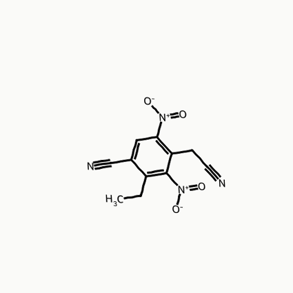 CCc1c(C#N)cc([N+](=O)[O-])c(CC#N)c1[N+](=O)[O-]